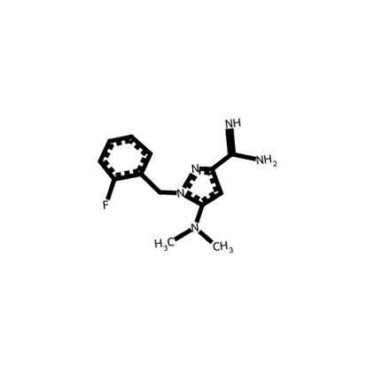 CN(C)c1cc(C(=N)N)nn1Cc1ccccc1F